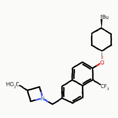 CC(C)(C)[C@H]1CC[C@H](Oc2ccc3cc(CN4CC(C(=O)O)C4)ccc3c2C(F)(F)F)CC1